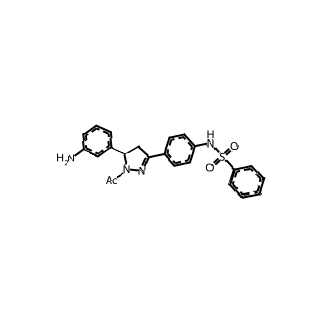 CC(=O)N1N=C(c2ccc(NS(=O)(=O)c3ccccc3)cc2)CC1c1cccc(N)c1